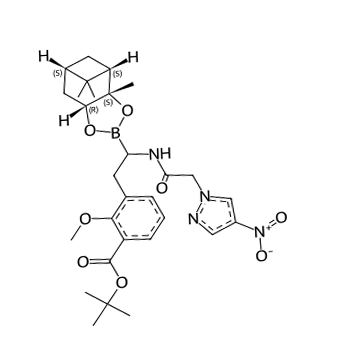 COc1c(CC(NC(=O)Cn2cc([N+](=O)[O-])cn2)B2O[C@@H]3C[C@@H]4C[C@@H](C4(C)C)[C@]3(C)O2)cccc1C(=O)OC(C)(C)C